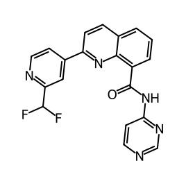 O=C(Nc1ccncn1)c1cccc2ccc(-c3ccnc(C(F)F)c3)nc12